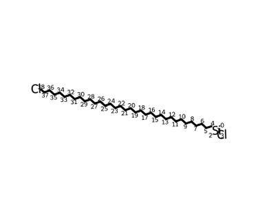 C[Si](C)(Cl)CCCCCCCCCCCCCCCCCCCCCCCCCCCCCCCCCCCl